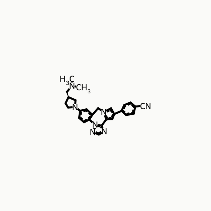 CN(C)C[C@@H]1CCN(c2ccc3c(c2)Cn2cc(-c4ccc(C#N)cc4)cc2-c2ncnn2-3)C1